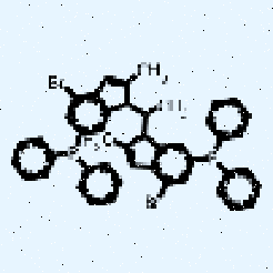 CC1=Cc2c(Br)cc(P(c3ccccc3)c3ccccc3)cc2C1C(C)C1C(C)=Cc2c(Br)cc(P(c3ccccc3)c3ccccc3)cc21